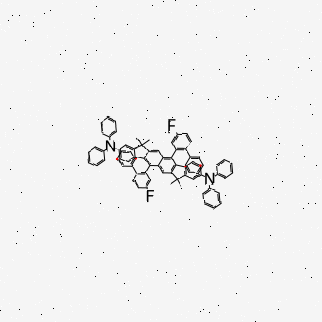 CC1(C)c2cc(N(c3ccccc3)c3ccccc3)ccc2-c2c1cc1c(-c3cc(F)ccc3-c3ccccc3)c3c(cc1c2-c1cc(F)ccc1-c1ccccc1)C(C)(C)c1cc(N(c2ccccc2)c2ccccc2)ccc1-3